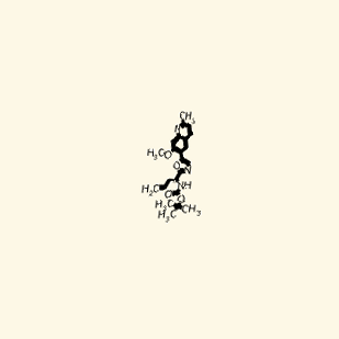 C=CC[C@H](NC(=O)OC(C)(C)C)c1ncc(-c2cc3ccc(C)nc3cc2OC)o1